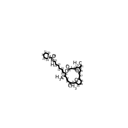 C/C=C1\CC2CC(=O)OC(/C=C/CCCCNC(=O)N3CCCCC3)C(C)/C=C/C(C)CC3CCCC(CC(C1)O2)O3